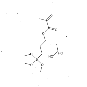 C=C(C)C(=O)OCCC[Si](OC)(OC)OC.CCO.Cl